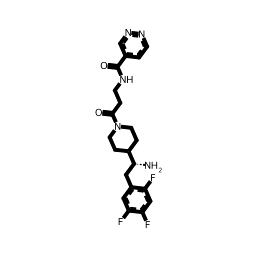 N[C@H](Cc1cc(F)c(F)cc1F)C1CCN(C(=O)CCNC(=O)c2ccnnc2)CC1